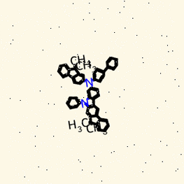 CC1(C)c2ccccc2-c2ccc(N(c3ccc(-c4ccccc4)cc3)c3ccc4c5cc6c(cc5n(-c5ccccc5)c4c3)C(C)(C)c3ccccc3-6)cc21